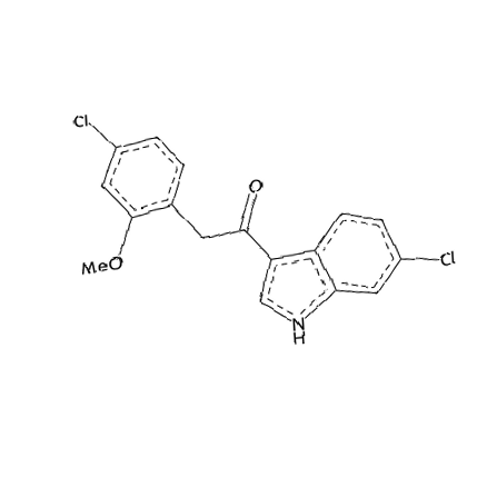 COc1cc(Cl)ccc1CC(=O)c1c[nH]c2cc(Cl)ccc12